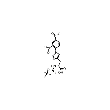 CC(C)(C)OC(=O)NC(Cc1cn(-c2ccc([N+](=O)[O-])cc2[N+](=O)[O-])cn1)C(=O)O